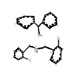 CCCC(c1ccccc1)c1ccccc1.Clc1ccccc1CNCc1ccccc1Cl